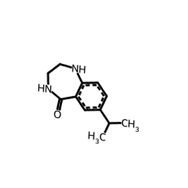 CC(C)c1ccc2c(c1)C(=O)NCCN2